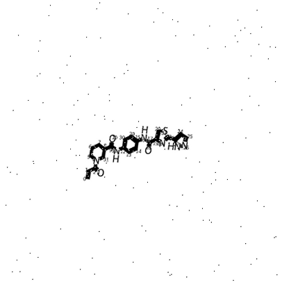 C=CC(=O)N1CCCC(C(=O)Nc2ccc(NC(=O)c3csc(-c4ccn[nH]4)n3)cc2)C1